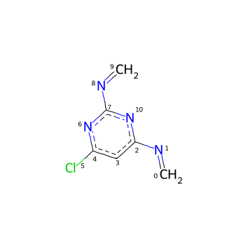 C=Nc1cc(Cl)nc(N=C)n1